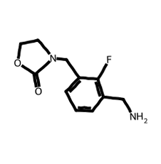 NCc1cccc(CN2CCOC2=O)c1F